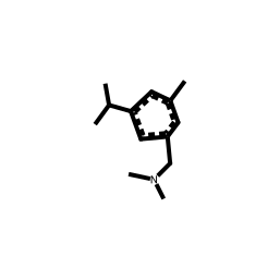 Cc1cc(CN(C)C)cc(C(C)C)c1